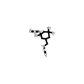 CCC1(CC)CC(CN=C=O)CC(CC)(N=C=O)C1